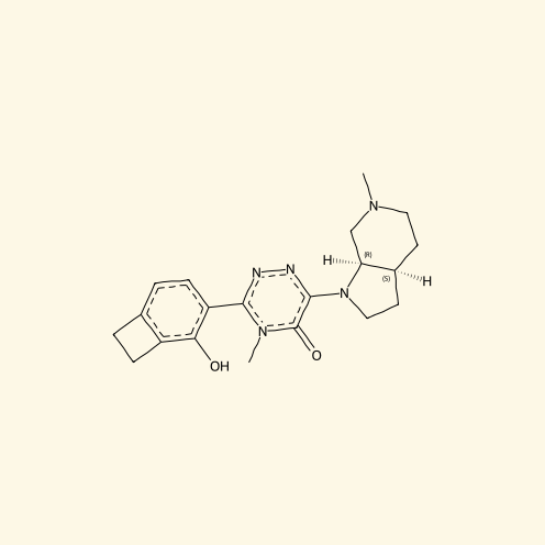 CN1CC[C@H]2CCN(c3nnc(-c4ccc5c(c4O)CC5)n(C)c3=O)[C@H]2C1